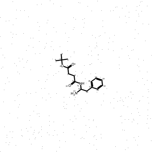 CC(C)(C)OC(=O)CCC(=O)NC(N)Cc1ccccc1